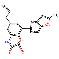 C=CCc1cc(-c2ccc3oc(C)cc3c2)c2oc(=O)c(=O)[nH]c2c1